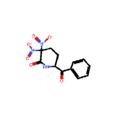 O=C(c1ccccc1)C1CCC([N+](=O)[O-])([N+](=O)[O-])C(=O)N1